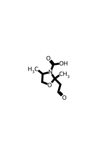 CC1COC(C)(CC=O)N1C(=O)O